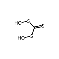 OSC(=S)SO